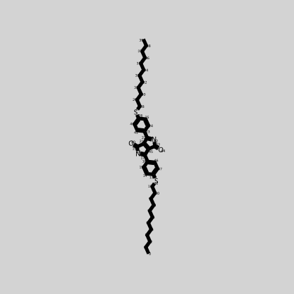 CCCCCCCCCCCCSc1ccc(-c2nc(=O)c3c(-c4ccc(SCCCCCCCCCCCC)cc4)nc(=O)c2=3)cc1